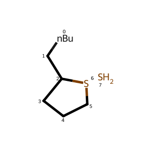 CCCCCC1CCCS1.S